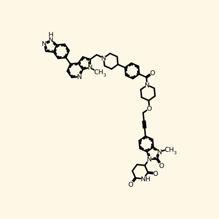 Cn1c(CN2CCC(c3ccc(C(=O)N4CCC(OCC#Cc5ccc6c(c5)n(C)c(=O)n6C5CCC(=O)NC5=O)CC4)cc3)CC2)cc2c(-c3ccc4[nH]ncc4c3)ccnc21